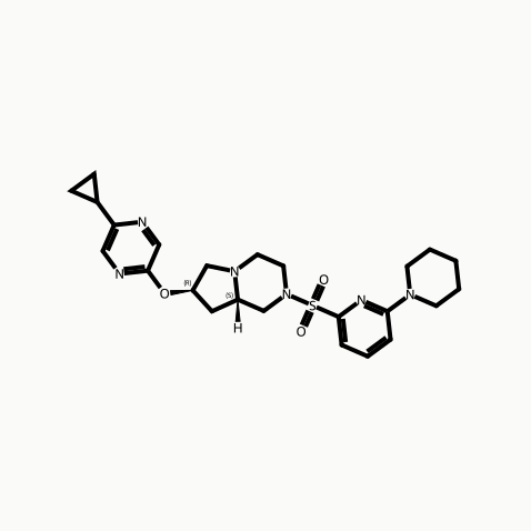 O=S(=O)(c1cccc(N2CCCCC2)n1)N1CCN2C[C@H](Oc3cnc(C4CC4)cn3)C[C@H]2C1